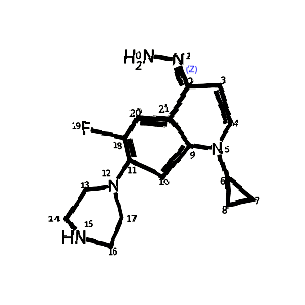 N/N=c1/ccn(C2CC2)c2cc(N3CCNCC3)c(F)cc12